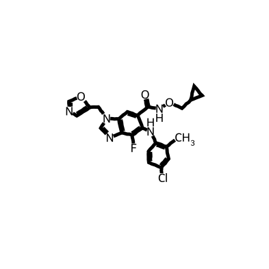 Cc1cc(Cl)ccc1Nc1c(C(=O)NOCC2CC2)cc2c(ncn2Cc2cnco2)c1F